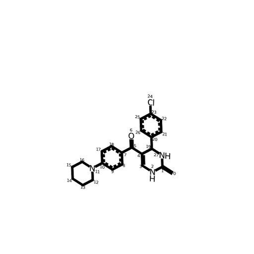 C=C1NC=C(C(=O)c2ccc(N3CCCCC3)cc2)C(c2ccc(Cl)cc2)N1